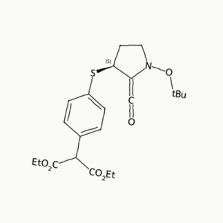 CCOC(=O)C(C(=O)OCC)c1ccc(S[C@H]2CCN(OC(C)(C)C)C2=C=O)cc1